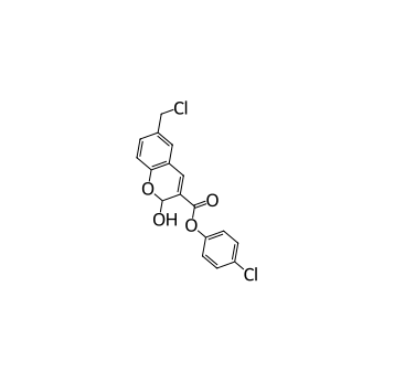 O=C(Oc1ccc(Cl)cc1)C1=Cc2cc(CCl)ccc2OC1O